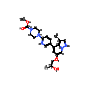 CC[C@H](O)COc1cc(-c2ccc(N3CCN(C(=O)OC(C)(C)C)CC3)nc2)c2c(C#N)cnn2c1